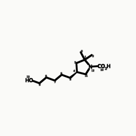 CC1(C)C[C@H](CCCCCO)CN1C(=O)O